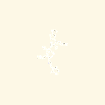 CO/N=C(\C(=O)NC1C(=O)N2C(C(=O)O)=C(/C=C/Sc3nnnn3C)CSC12)c1csc(N)n1